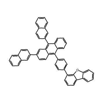 c1ccc2cc(-c3ccc4c(-c5ccc(-c6cccc7c6oc6ccccc67)cc5)c5ccccc5c(-c5ccc6ccccc6c5)c4c3)ccc2c1